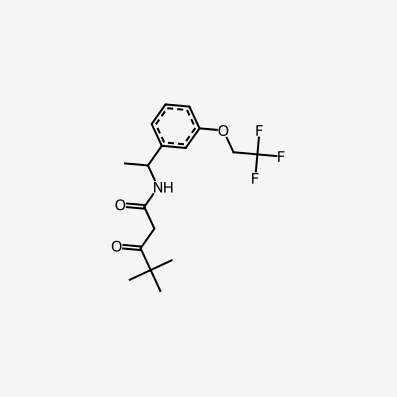 CC(NC(=O)CC(=O)C(C)(C)C)c1cccc(OCC(F)(F)F)c1